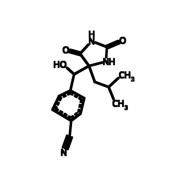 CC(C)CC1(C(O)c2ccc(C#N)cc2)NC(=O)NC1=O